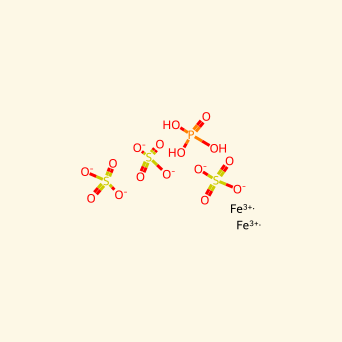 O=P(O)(O)O.O=S(=O)([O-])[O-].O=S(=O)([O-])[O-].O=S(=O)([O-])[O-].[Fe+3].[Fe+3]